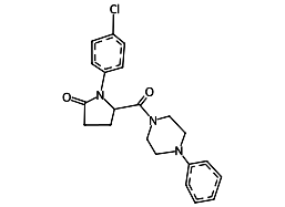 O=C(C1CCC(=O)N1c1ccc(Cl)cc1)N1CCN(c2ccccc2)CC1